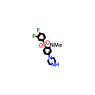 CNc1cc(N2CCNCC2)ccc1S(=O)(=O)c1ccc(F)c(F)c1